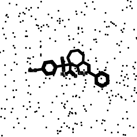 COc1ccc(S(=O)(=O)[N+]2(C(N)=O)CCCCC(C=Cc3ccccc3)C2C(=O)O)cc1